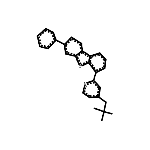 CC(C)(C)Cc1ccnc(-c2cccc3c2oc2cc(-c4ccccc4)ccc23)c1